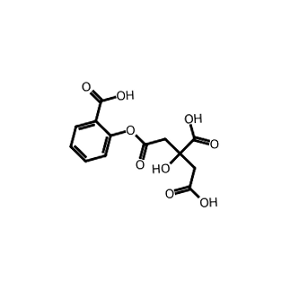 O=C(O)CC(O)(CC(=O)Oc1ccccc1C(=O)O)C(=O)O